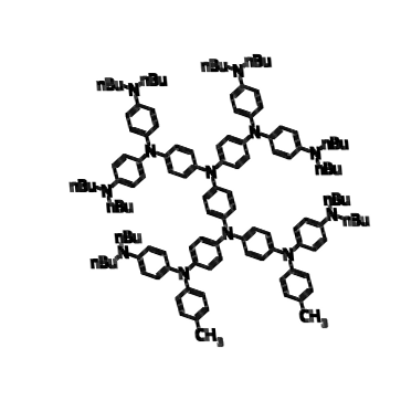 CCCCN(CCCC)c1ccc(N(c2ccc(C)cc2)c2ccc(N(c3ccc(N(c4ccc(C)cc4)c4ccc(N(CCCC)CCCC)cc4)cc3)c3ccc(N(c4ccc(N(c5ccc(N(CCCC)CCCC)cc5)c5ccc(N(CCCC)CCCC)cc5)cc4)c4ccc(N(c5ccc(N(CCCC)CCCC)cc5)c5ccc(N(CCCC)CCCC)cc5)cc4)cc3)cc2)cc1